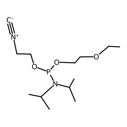 [C-]#[N+]CCOP(OCCOCC)N(C(C)C)C(C)C